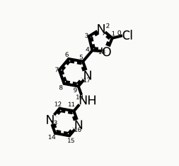 Clc1ncc(-c2cccc(Nc3cnccn3)n2)o1